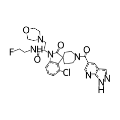 O=C(NCCF)C(CN1CCOCC1)N1C(=O)C2(CCN(C(=O)c3cnc4[nH]ncc4c3)CC2)c2c(Cl)cccc21